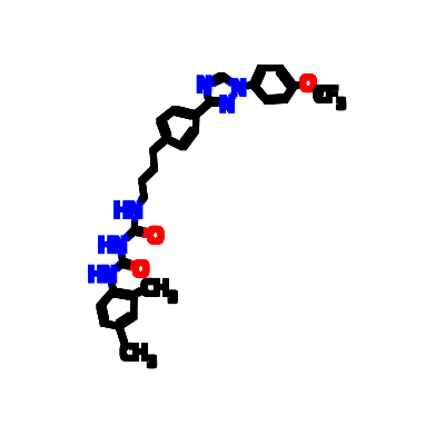 Cc1ccc(NC(=O)NC(=O)NCCCCc2ccc(-c3ncn(-c4ccc(OC(F)(F)F)cc4)n3)cc2)c(C)c1